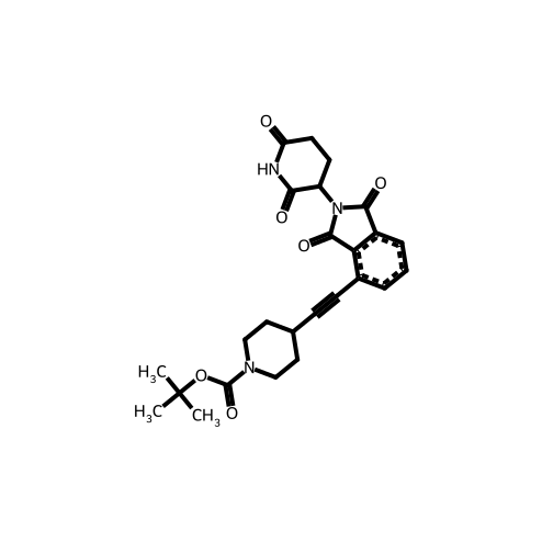 CC(C)(C)OC(=O)N1CCC(C#Cc2cccc3c2C(=O)N(C2CCC(=O)NC2=O)C3=O)CC1